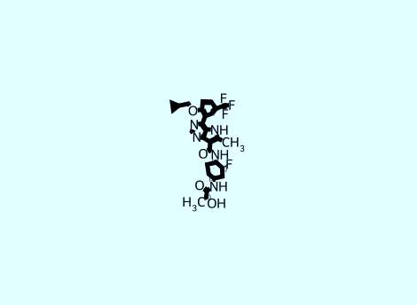 Cc1[nH]c2c(-c3cc(C(F)(F)F)ccc3OCC3CC3)ncnc2c1C(=O)N[C@H]1CC[C@H](NC(=O)[C@H](C)O)C[C@H]1F